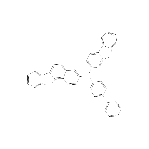 c1ccc(-c2ccc(N(c3ccc4c(ccc5c6ccccc6sc45)c3)c3ccc4c(c3)oc3ccccc34)cc2)cc1